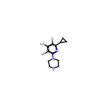 Cc1c(Br)c(C2CC2)nc(N2CCNCC2)c1C#N